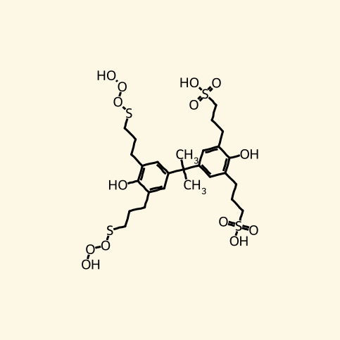 CC(C)(c1cc(CCCSOOO)c(O)c(CCCSOOO)c1)c1cc(CCCS(=O)(=O)O)c(O)c(CCCS(=O)(=O)O)c1